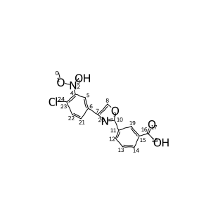 CON(O)c1cc(-c2coc(-c3cccc(C(=O)O)c3)n2)ccc1Cl